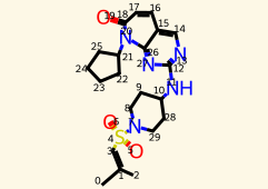 CC(C)=CS(=O)(=O)N1CCC(Nc2ncc3ccc(=O)n(C4CCCC4)c3n2)CC1